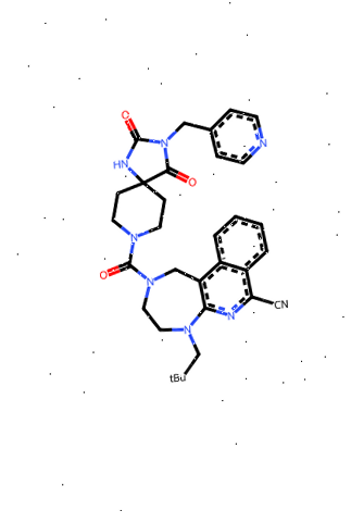 CC(C)(C)CN1CCN(C(=O)N2CCC3(CC2)NC(=O)N(Cc2ccncc2)C3=O)Cc2c1nc(C#N)c1ccccc21